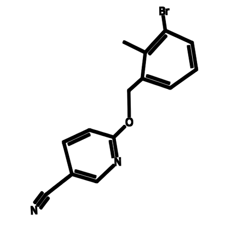 Cc1c(Br)cccc1COc1ccc(C#N)cn1